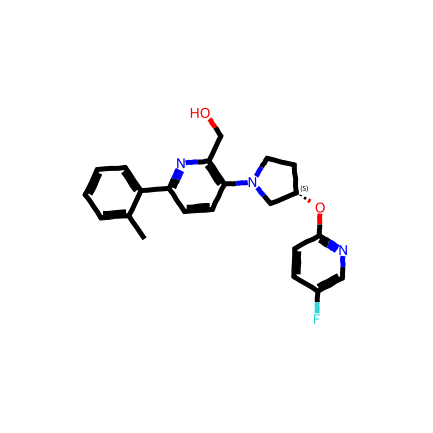 Cc1ccccc1-c1ccc(N2CC[C@H](Oc3ccc(F)cn3)C2)c(CO)n1